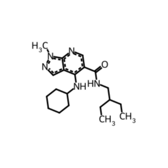 CCC(CC)CNC(=O)c1cnc2c(cnn2C)c1NC1CCCCC1